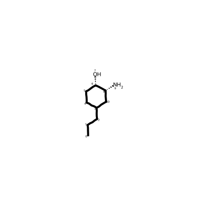 CCCC1CC[C@H](O)[C@H](N)C1